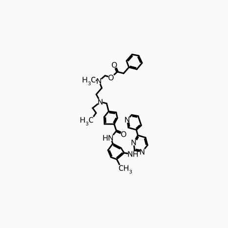 CCCN(CCN(C)COC(=O)Cc1ccccc1)Cc1ccc(C(=O)Nc2ccc(C)c(Nc3nccc(-c4cccnc4)n3)c2)cc1